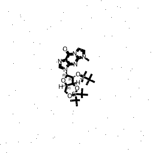 Cn1ccn2c(=O)c3ncn([C@@H]4O[C@@H]5CO[Si](C(C)(C)C)(C(C)(C)C)O[C@H]5[C@H]4O[Si](C)(C)C(C)(C)C)c3nc12